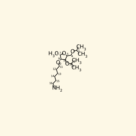 CC(C)OCC1O[C@@H](C)[C@H](OCCCCCCN)[C@@H]1OC(C)C